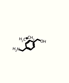 C=C.NCc1ccc(CO)cc1